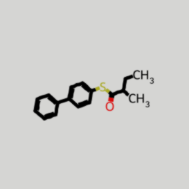 CCC(C)C(=O)Sc1ccc(-c2ccccc2)cc1